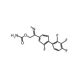 C/N=C(\COC(N)=O)c1ccc(-c2ccc(F)c(F)c2F)c(F)c1